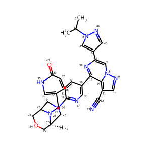 CC(C)n1cc(-c2cn3ncc(C#N)c3c(-c3ccc(N4CC5COC[C@H](C4)N5Cc4ccc(=O)[nH]c4)nc3)n2)cn1